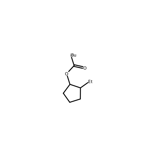 CCC(C)C(=O)OC1CCCC1CC